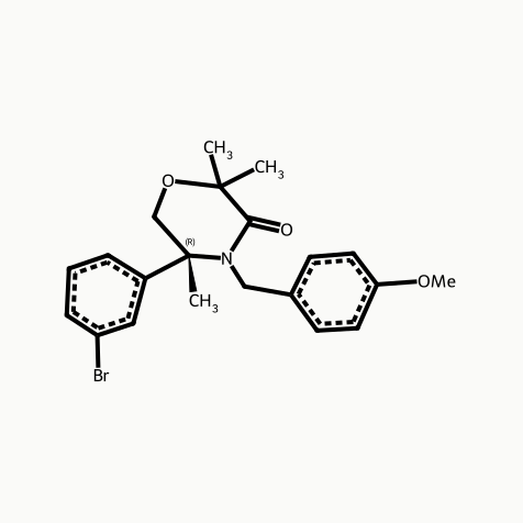 COc1ccc(CN2C(=O)C(C)(C)OC[C@@]2(C)c2cccc(Br)c2)cc1